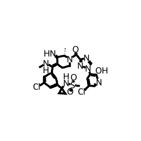 CN/C(=C1/CCN(C(=O)c2ncn(-c3cc(Cl)cnc3O)n2)[C@@H](C)C1=N)c1cc(Cl)cc(C2(NS(C)(=O)=O)CC2)c1